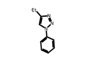 C[CH]c1cn(-c2ccccc2)nn1